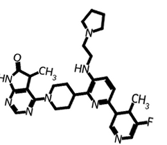 CC1C(=O)Nc2ncnc(N3CCC(c4nc(C5C=NC=C(F)C5C)ccc4NCCN4CCCC4)CC3)c21